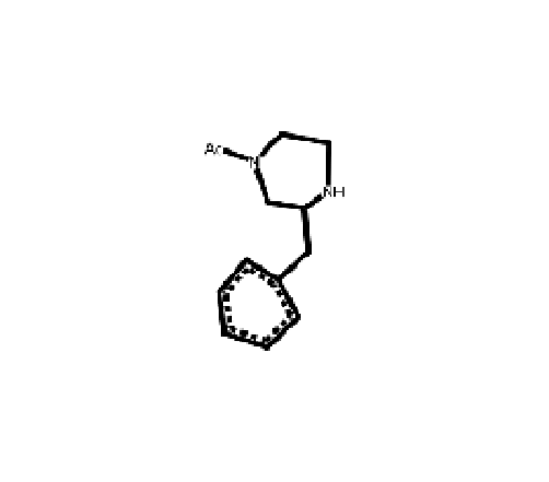 CC(=O)N1CCNC(Cc2ccccc2)C1